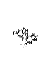 Cc1cc(Nc2c(F)cc(F)cc2F)n2ncnc2n1